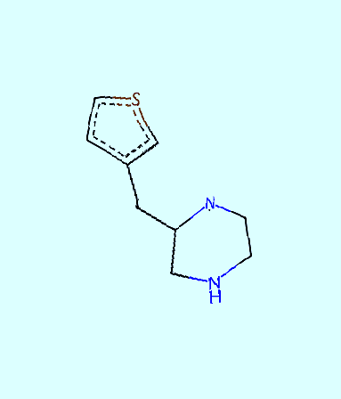 c1cc(CC2CNCC[N]2)cs1